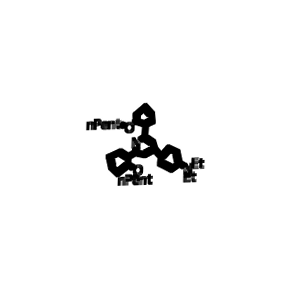 CCCCCOc1ccccc1-c1cc(-c2ccc(N(CC)CC)cc2)cc(-c2ccccc2OCCCCC)n1